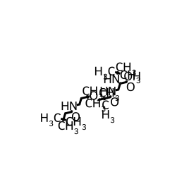 CC(C)(C)CC(=O)NCCC(C)(C)OCC(C)(C)C(=O)NCC(NC(C)(C)C)C(=O)O